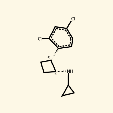 Clc1ccc([C@H]2CC[C@H]2NC2CC2)c(Cl)c1